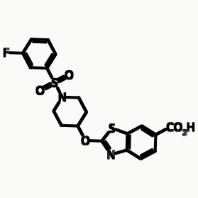 O=C(O)c1ccc2nc(OC3CCN(S(=O)(=O)c4cccc(F)c4)CC3)sc2c1